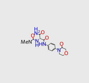 CNC(=O)N[C@H](C(N)=O)C(=O)Nc1ccc(N2CCOCC2=O)cc1